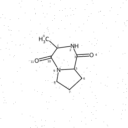 CC1NC(=O)C2CCCN2C1=O